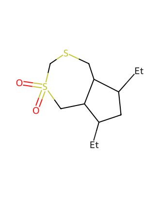 CCC1CC(CC)C2CS(=O)(=O)CSCC12